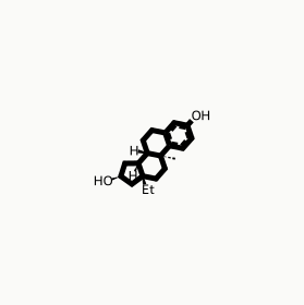 CC[C@]12CC[C@]3(C)c4ccc(O)cc4CC[C@H]3[C@@H]1C[C@@H](O)C2